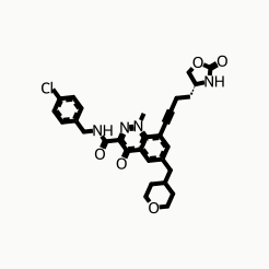 Cn1nc(C(=O)NCc2ccc(Cl)cc2)c(=O)c2cc(CC3CCOCC3)cc(C#CCC[C@@H]3COC(=O)N3)c21